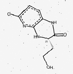 O=C1Nc2ccc(Cl)nc2N[C@H]1CCO